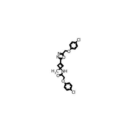 CC1(NC(=O)COc2ccc(Cl)cc2)C=C(c2nnc(COc3ccc(Cl)cc3)o2)C1